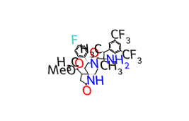 COC(=O)C1CC(=O)N[C@@]12CCN(C(=O)C(C)(N)[C@H](C)c1cc(C(F)(F)F)cc(C(F)(F)F)c1)[C@@H](c1ccc(F)cc1C)C2